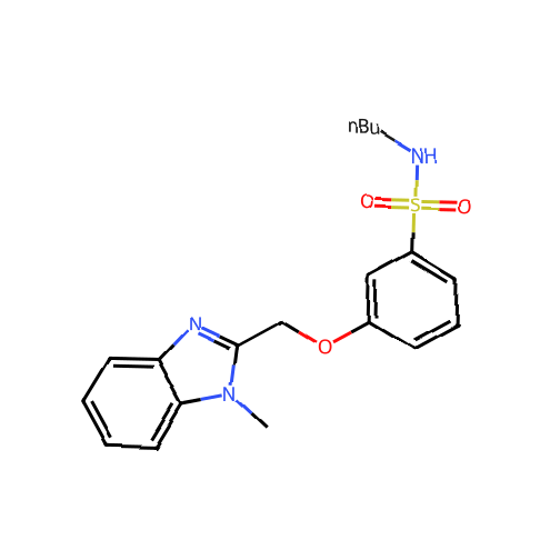 CCCCNS(=O)(=O)c1cccc(OCc2nc3ccccc3n2C)c1